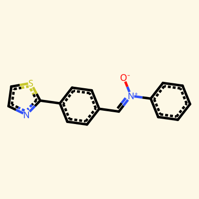 [O-]/[N+](=C\c1ccc(-c2nccs2)cc1)c1ccccc1